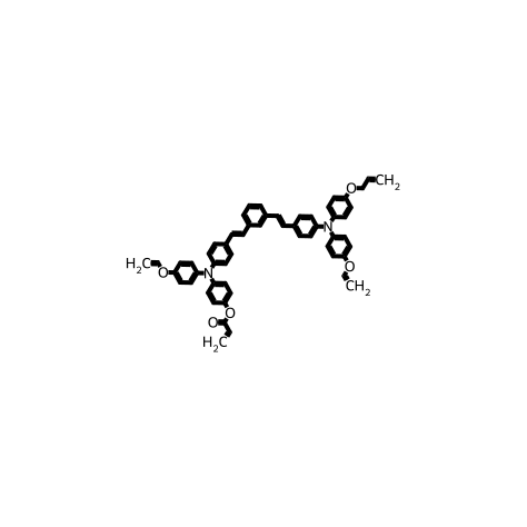 C=CCOc1ccc(N(c2ccc(C=Cc3cccc(C=Cc4ccc(N(c5ccc(OC=C)cc5)c5ccc(OC(=O)C=C)cc5)cc4)c3)cc2)c2ccc(OC=C)cc2)cc1